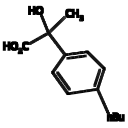 CCCCc1ccc(C(C)(O)C(=O)O)cc1